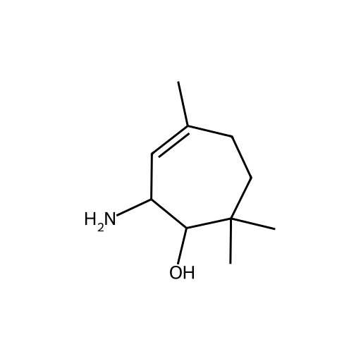 CC1=CC(N)C(O)C(C)(C)CC1